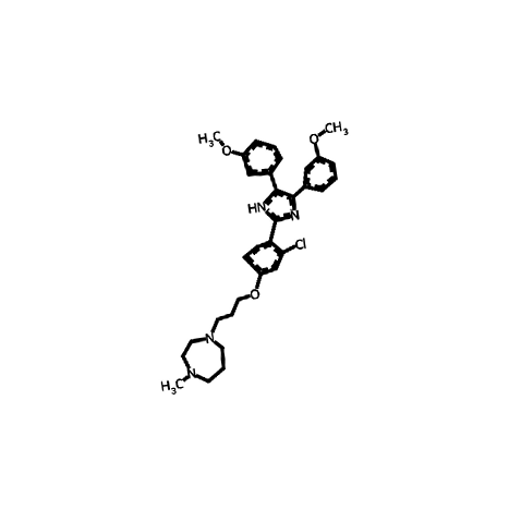 COc1cccc(-c2nc(-c3ccc(OCCCN4CCCN(C)CC4)cc3Cl)[nH]c2-c2cccc(OC)c2)c1